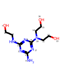 Nc1nc(NCCO)nc(N(CCO)CCO)n1